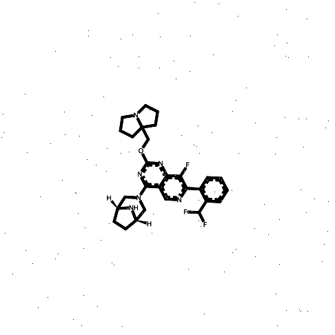 Fc1c(-c2ccccc2C(F)F)ncc2c(N3C[C@H]4CC[C@@H](C3)N4)nc(OCC34CCCN3CCC4)nc12